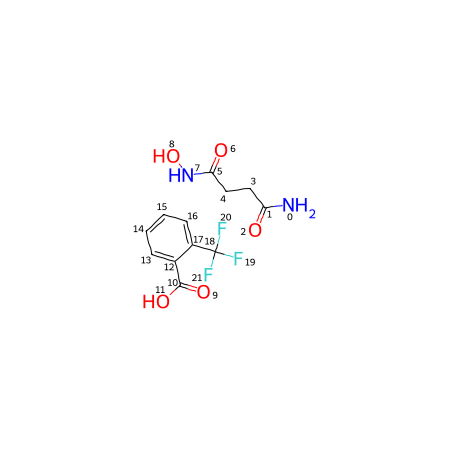 NC(=O)CCC(=O)NO.O=C(O)c1ccccc1C(F)(F)F